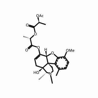 COc1ccc(C)c2c1O[C@H]1C(OC(=O)[C@H](C)OC(=O)[C@H](C)OC(C)=O)=CC[C@@]3(O)[C@@H](C)N(C)CC[C@]213